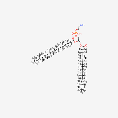 [2H]C([2H])([2H])C([2H])([2H])C([2H])([2H])C([2H])([2H])C([2H])([2H])C([2H])([2H])C([2H])([2H])C([2H])([2H])C([2H])([2H])C([2H])([2H])C([2H])([2H])C([2H])([2H])C([2H])([2H])C([2H])([2H])C([2H])([2H])C(=O)OC[C@H](COP(=O)(O)OCCN)OC(=O)C([2H])([2H])C([2H])([2H])C([2H])([2H])C([2H])([2H])C([2H])([2H])C([2H])([2H])C([2H])([2H])C([2H])([2H])C([2H])([2H])C([2H])([2H])C([2H])([2H])C([2H])([2H])C([2H])([2H])C([2H])([2H])C([2H])([2H])[2H]